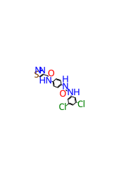 O=C(Nc1ccc(NC(=O)c2csnn2)cc1)Nc1cc(Cl)cc(Cl)c1